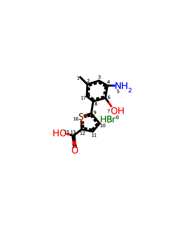 Br.Cc1cc(N)c(O)c(-c2ccc(C(=O)O)s2)c1